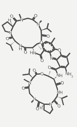 CC1=C2Oc3c(C)ccc(C(=O)N[C@@H]4C(=O)N[C@H](C(C)C)C(=O)N5CCC[C@H]5C(=O)N(C)CC(=O)N(C)[C@@H](C(C)C)C(=O)O[C@@H]4C)c3N=C2C(C(=O)N[C@@H]2C(=O)N[C@H](C(C)C)C(=O)N3CCC[C@H]3C(=O)N(C)CC(=O)N(C)[C@@H](C(C)C)C(=O)O[C@@H]2C)=C(N)C1